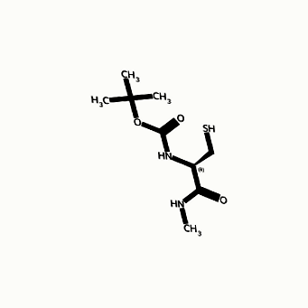 CNC(=O)[C@H](CS)NC(=O)OC(C)(C)C